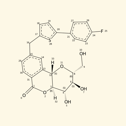 O=C1O[C@@H]2[C@@H](O)[C@H](O)[C@@H](CO)O[C@H]2c2cc(Cc3ccc(-c4ccc(F)cc4)s3)ccc21